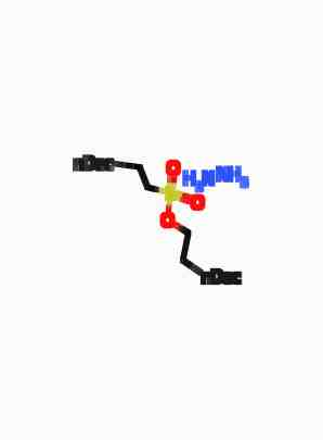 CCCCCCCCCCCCOS(=O)(=O)CCCCCCCCCCCC.N.N